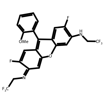 COc1ccccc1-c1c2cc(F)/c(=N\CC(F)(F)F)cc-2oc2cc(NCC(F)(F)F)c(F)cc12